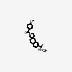 COc1ccc(C(=O)N2CCC3(CCc4ccc(C(=O)NO)cc4C3)C2)cc1